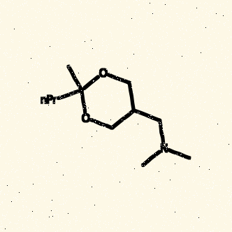 CCCC1(C)OCC(CN(C)C)CO1